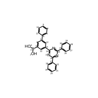 OB(O)c1cc(-c2ccccc2)cc(-c2nc(-c3ccccc3)nc(-c3ccccc3)n2)c1